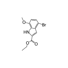 CCOC(=O)c1cc2c(Br)ccc(OC)c2[nH]1